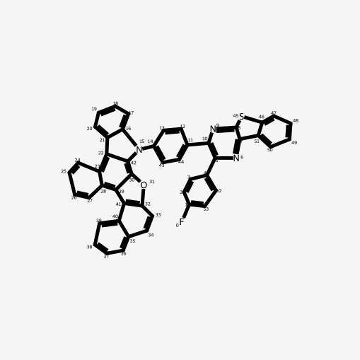 Fc1ccc(-c2nc3c(nc2-c2ccc(-n4c5ccccc5c5c6ccccc6c6c(oc7ccc8ccccc8c76)c54)cc2)sc2ccccc23)cc1